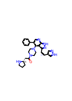 O=C(C[C@@H]1CCCN1)N1CCN(c2c(-c3ccccc3)cnc3[nH]nc(/C=C\c4cn[nH]c4)c23)CC1